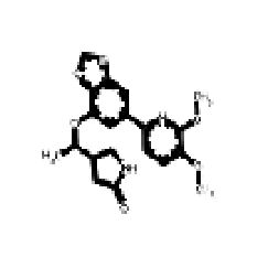 COc1ccc(-c2cc(OC(C)C3CNC(=O)C3)c3scnc3c2)nc1OC